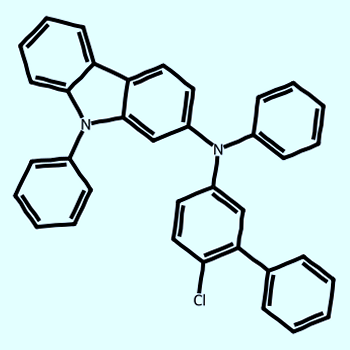 Clc1ccc(N(c2ccccc2)c2ccc3c4ccccc4n(-c4ccccc4)c3c2)cc1-c1ccccc1